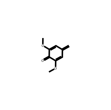 C=C1C=C(OC)C(=O)C(OC)=C1